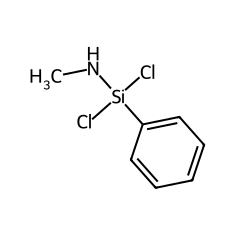 CN[Si](Cl)(Cl)c1ccccc1